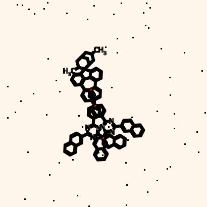 CC1CC2CC(C)C3(c4cccc(-c5ccc(-c6ccc(-c7nc(-c8ccc9ccccc9c8)nc(-c8ccc9ccccc9c8)n7)cc6)cc5)c4-c4c(-c5ccc(-c6ccc(-c7nc(-c8ccc9ccccc9c8)nc(-c8ccc9ccccc9c8)n7)cc6)cc5)cccc43)C(C1)C2